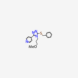 COCCCn1c(SCc2ccccc2)nnc1-c1ccncc1